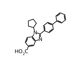 O=C(O)c1ccc2c(c1)nc(-c1ccc(-c3ccccc3)cc1)n2C1CCCC1